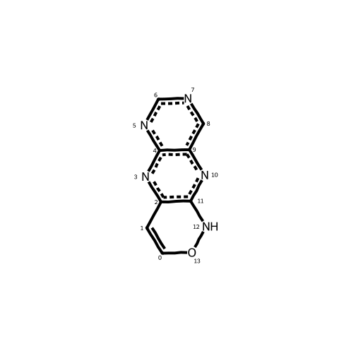 C1=Cc2nc3ncncc3nc2NO1